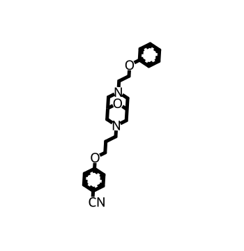 N#Cc1ccc(OCCCN2CC3CN(CCOc4ccccc4)CC(C2)O3)cc1